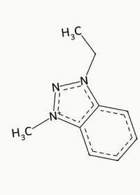 CCn1n[n+](C)c2ccccc21